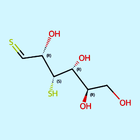 OC[C@@H](O)[C@@H](O)[C@H](S)[C@@H](O)C=S